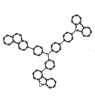 c1cc(-c2cccc3oc4ccccc4c23)cc(N(c2ccc(-c3ccc(-n4c5ccccc5c5ccccc54)cc3)cc2)c2ccc(-c3ccc4c(ccc5ccccc54)c3)cc2)c1